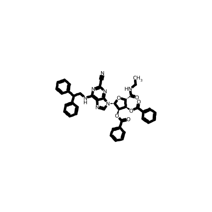 CCNC(=O)[C@H]1O[C@@H](n2cnc3c(NCC(c4ccccc4)c4ccccc4)nc(C#N)nc32)[C@H](OC(=O)c2ccccc2)[C@@H]1OC(=O)c1ccccc1